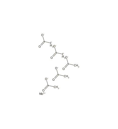 CC(=O)[O-].CC(=O)[O-].CC(=O)[O-].CC(=O)[O-].CC(=O)[O-].[Nb+5]